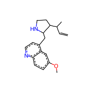 C=CC(C)C1CCNC1Cc1ccnc2ccc(OC)cc12